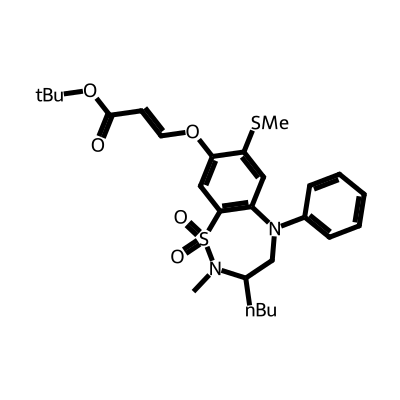 CCCCC1CN(c2ccccc2)c2cc(SC)c(O/C=C/C(=O)OC(C)(C)C)cc2S(=O)(=O)N1C